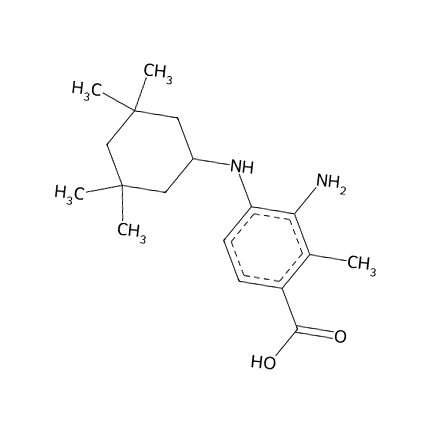 Cc1c(C(=O)O)ccc(NC2CC(C)(C)CC(C)(C)C2)c1N